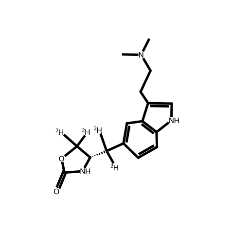 [2H]C1([2H])OC(=O)N[C@H]1C([2H])([2H])c1ccc2[nH]cc(CCN(C)C)c2c1